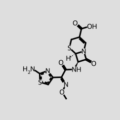 CON=C(C(=O)N[C@@H]1C(=O)N2C=C(C(=O)O)CS[C@H]12)c1csc(N)n1